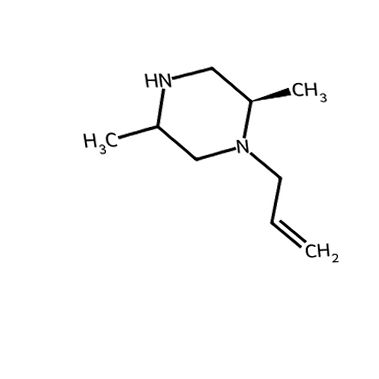 C=CCN1CC(C)NC[C@H]1C